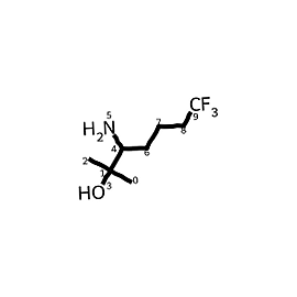 CC(C)(O)C(N)CCCC(F)(F)F